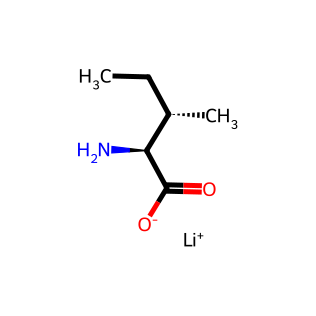 CC[C@H](C)[C@H](N)C(=O)[O-].[Li+]